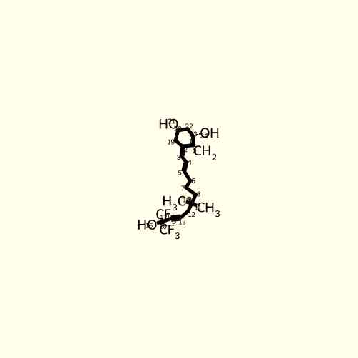 C=C1/C(=C\C=C\CCCC(C)(C)CC#CC(O)(C(F)(F)F)C(F)(F)F)C[C@@H](O)C[C@@H]1O